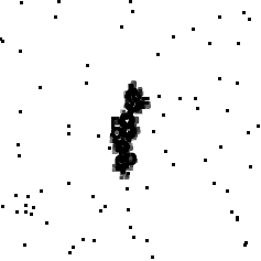 Cc1cn2cc(-c3cc(F)c4c(=O)n(C5CN(C(=O)OC(C)(C)C)CC5C)ccc4c3)cc(F)c2n1